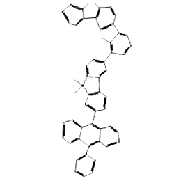 CC1(C)c2ccc(-c3cccc4c3sc3c4ccc4sc5ccccc5c43)cc2-c2ccc(-c3c4ccccc4c(-c4ccccc4)c4ccccc34)cc21